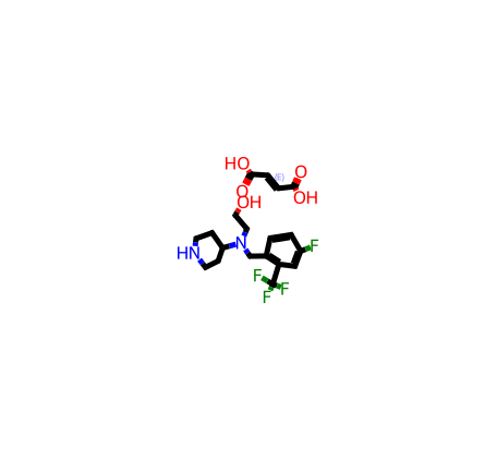 O=C(O)/C=C/C(=O)O.OCCN(Cc1ccc(F)cc1C(F)(F)F)C1CCNCC1